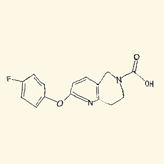 O=C(O)N1CCc2nc(Oc3ccc(F)cc3)ccc2C1